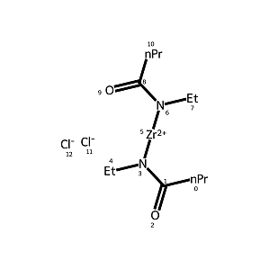 CCCC(=O)[N](CC)[Zr+2][N](CC)C(=O)CCC.[Cl-].[Cl-]